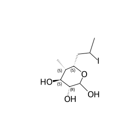 CC(I)C[C@@H]1OC(O)[C@H](O)[C@@H](O)[C@@H]1C